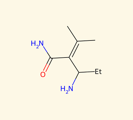 CCC(N)C(C(N)=O)=C(C)C